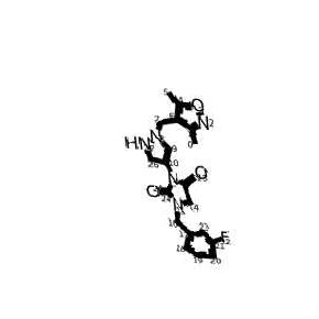 Cc1noc(C)c1CN1C=C(N2C(=O)CN(Cc3cccc(F)c3)C2=O)CN1